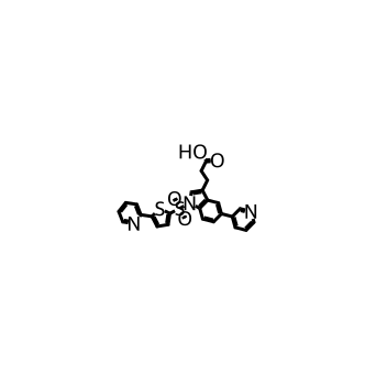 O=C(O)CCc1cn(S(=O)(=O)c2ccc(-c3ccccn3)s2)c2ccc(-c3cccnc3)cc12